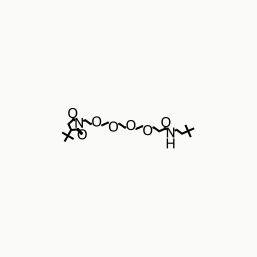 CC(C)(C)CCNC(=O)CCOCCOCCOCCOCCN1C(=O)CC(C(C)(C)C)C1=O